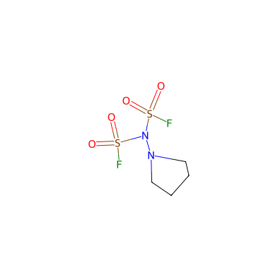 O=S(=O)(F)N(N1CCCC1)S(=O)(=O)F